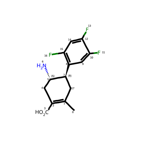 CC1=C(C(=O)O)C[C@H](N)[C@@H](c2cc(F)c(F)cc2F)C1